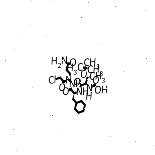 C[C@@H](OC(C)(C)C)[C@H](NC(=O)O)C(=O)N[C@@H](CC1CCCCC1)C(=O)NN(CCC(N)=O)C(=O)CCl